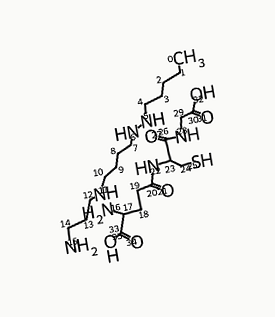 CCCCCNNCCCCNCCCN.NC(CCC(=O)NC(CS)C(=O)NCC(=O)O)C(=O)O